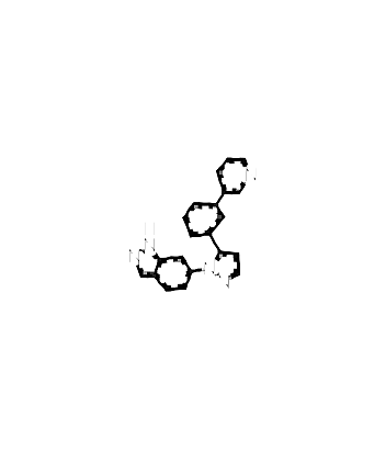 c1cncc(-c2cccc(-c3ccnn3-c3ccc4cn[nH]c4c3)c2)c1